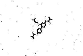 C=C(C)C(=O)Oc1ccc(-c2ccc(OC(=O)C(=C)C)cc2OCC=C(C)C)cc1